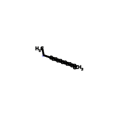 C=CC(=O)OCCOCCOCCOCCOCCOCCOCCOCCOCCOCCOCCCCCCCC/C=C\CCCCCCCC